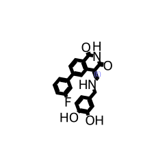 O=C1NC(=O)c2ccc(-c3cccc(F)c3)cc2/C1=C\NCc1ccc(O)c(O)c1